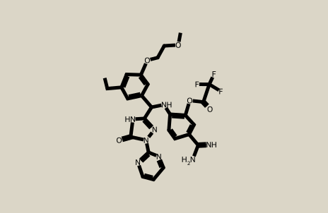 CCc1cc(OCCOC)cc(C(Nc2ccc(C(=N)N)cc2OC(=O)C(F)(F)F)c2nn(-c3ncccn3)c(=O)[nH]2)c1